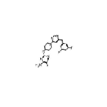 Nc1nc(OC2CCN(c3cc(Cc4cc(F)cc(F)c4)ncn3)CC2)ncc1F